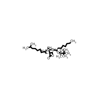 CCCCCCC[C@H](C[C@@H]1OC(=O)[C@@]1(CCCCCCCC(C)C)[Si](C)(C)C)O[Si](C)(C)C(C)(C)C